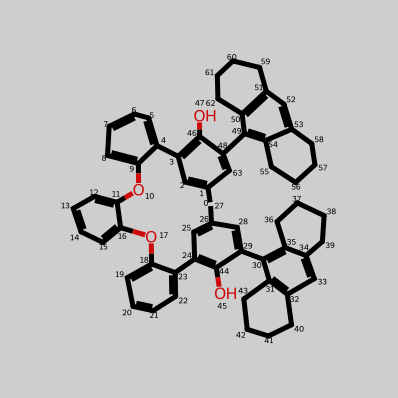 Cc1cc(-c2ccccc2Oc2ccccc2Oc2ccccc2-c2cc(C)cc(-c3c4c(cc5c3CCCC5)CCCC4)c2O)c(O)c(-c2c3c(cc4c2CCCC4)CCCC3)c1